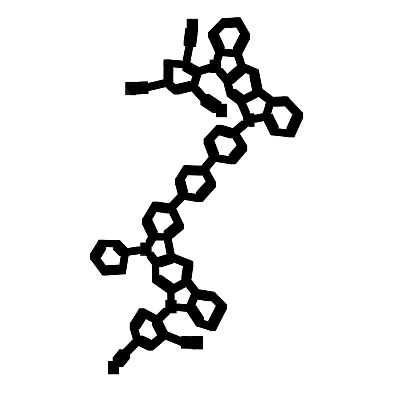 N#Cc1ccc(-n2c3ccccc3c3cc4c5cc(-c6ccc(-c7ccc(-n8c9ccccc9c9cc%10c%11ccccc%11n(-c%11c(C#N)cc(C#N)cc%11C#N)c%10cc98)cc7)cc6)ccc5n(-c5ccccc5)c4cc32)c(C#N)c1